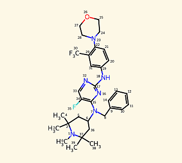 CN1C(C)(C)CC(N(Cc2ccccc2)c2nc(Nc3ccc(N4CCOCC4)c(C(F)(F)F)c3)ncc2F)CC1(C)C